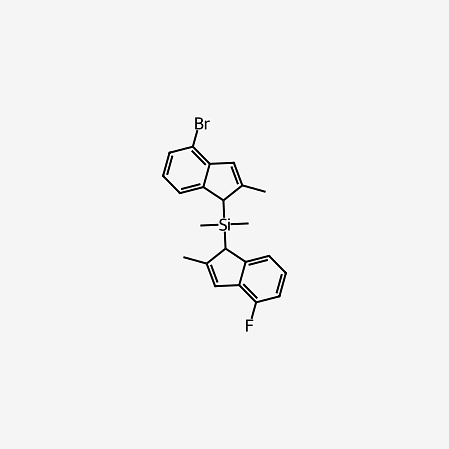 CC1=Cc2c(F)cccc2C1[Si](C)(C)C1C(C)=Cc2c(Br)cccc21